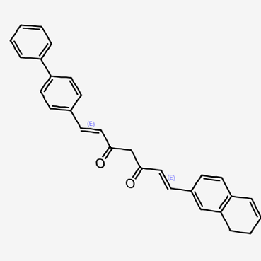 O=C(/C=C/c1ccc(-c2ccccc2)cc1)CC(=O)/C=C/c1ccc2c(c1)CCC=C2